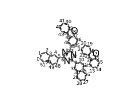 c1ccc2cc(-c3nc(-c4cc(-c5cccc6oc7ccccc7c56)c5ccccc5c4)nc(-c4ccc5oc6ccccc6c5c4)n3)ccc2c1